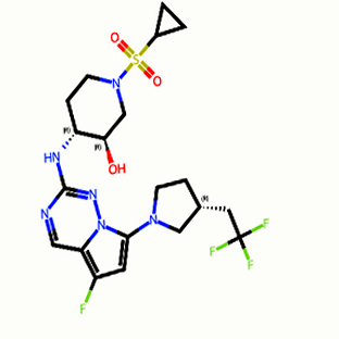 O=S(=O)(C1CC1)N1CC[C@@H](Nc2ncc3c(F)cc(N4CC[C@H](CC(F)(F)F)C4)n3n2)[C@H](O)C1